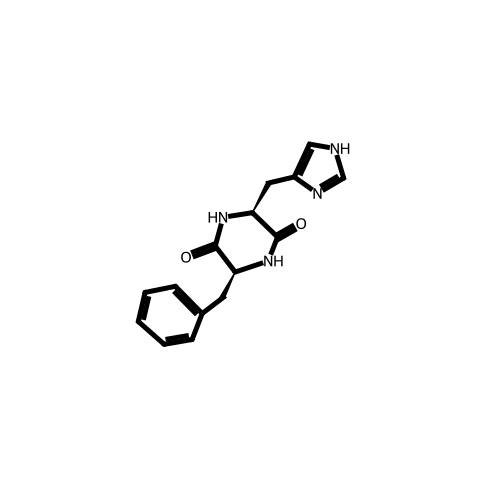 O=C1N[C@@H](Cc2c[nH]cn2)C(=O)N[C@H]1Cc1ccccc1